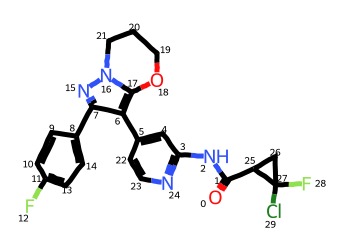 O=C(Nc1cc(-c2c(-c3ccc(F)cc3)nn3c2OCCC3)ccn1)C1CC1(F)Cl